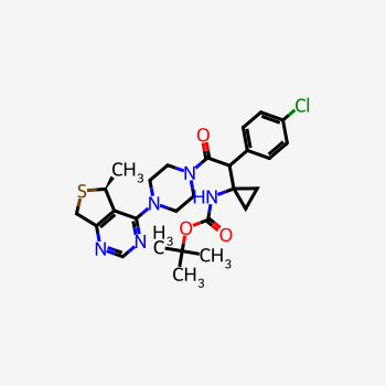 C[C@@H]1SCc2ncnc(N3CCN(C(=O)C(c4ccc(Cl)cc4)C4(NC(=O)OC(C)(C)C)CC4)CC3)c21